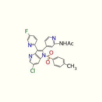 CC(=O)Nc1cc(-c2c(-c3ccc(F)cn3)c3ncc(Cl)cc3n2S(=O)(=O)c2ccc(C)cc2)ccn1